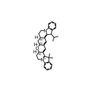 CC(C)C1C2=C3C=C4C=C5C6=[N+](CC[C@H]5O[C@H]4C[C@H]3CCN2c2ccccc21)c1ccccc1C6(C)C